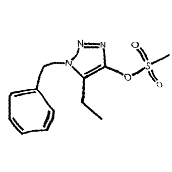 CCc1c(OS(C)(=O)=O)nnn1Cc1ccccc1